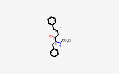 CCOC(=O)N[C@@H](Cc1ccccc1)[C@@H](O)C[C@@H](C)Cc1ccccc1